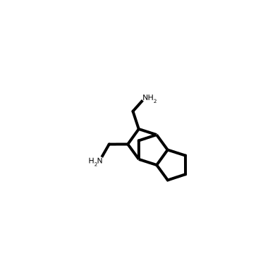 NCC1C(CN)C2CC1C1CCCC12